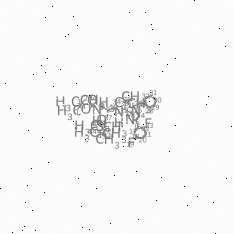 CC(C)(C)OC(=O)NCC(CNC(c1nc(-c2cc(F)ccc2F)cn1Cc1ccccc1)C(C)(C)C)CO[Si](C)(C)C(C)(C)C